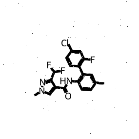 Cc1ccc(NC(=O)c2cn(C)nc2C(F)F)c(-c2ccc(Cl)cc2F)c1